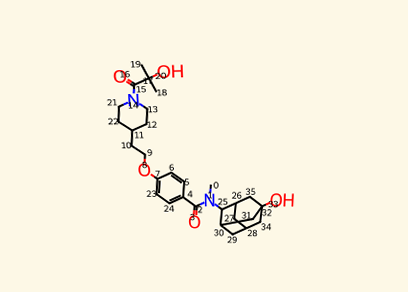 CN(C(=O)c1ccc(OCCC2CCN(C(=O)C(C)(C)O)CC2)cc1)C1C2CC3CC1CC(O)(C3)C2